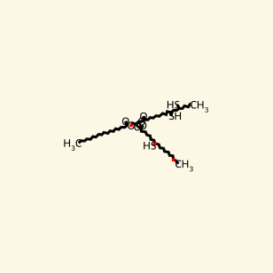 CCCCCCCCCCCCCCCCCC(=O)OCC(COC(=O)CCCCCCCCC(S)CCC(S)CCCCC)OC(=O)CCCCCCC(S)CCCCCCCCCC